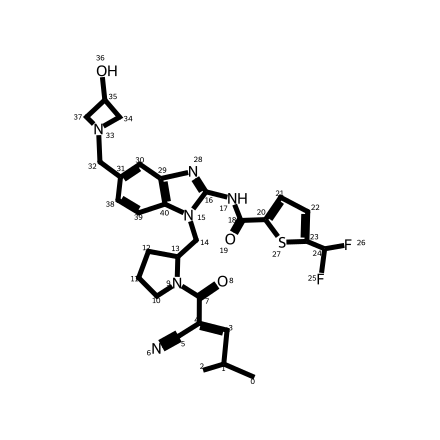 CC(C)C=C(C#N)C(=O)N1CCCC1Cn1c(NC(=O)c2ccc(C(F)F)s2)nc2cc(CN3CC(O)C3)ccc21